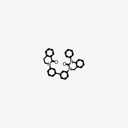 O=C1c2ccccc2CCN1c1cccc(-c2cccc(N3Cc4ccccc4N(c4ccccc4)C3=O)c2)c1